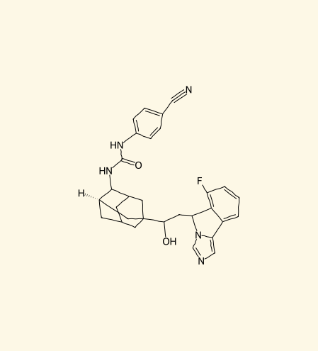 N#Cc1ccc(NC(=O)NC2C3CC4C[C@@H]2CC(C(O)CC2c5c(F)cccc5-c5cncn52)(C4)C3)cc1